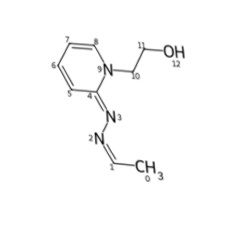 C/C=N\N=c1/ccccn1CCO